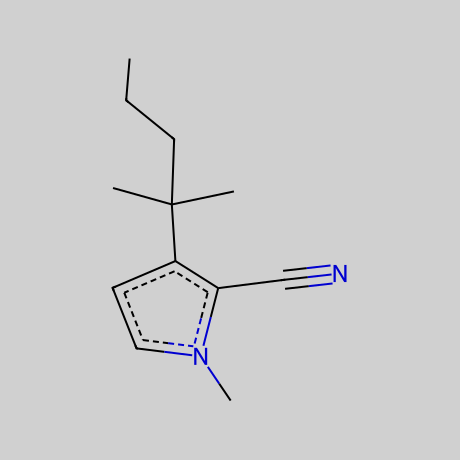 CCCC(C)(C)c1ccn(C)c1C#N